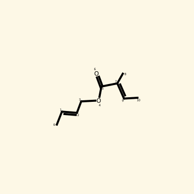 CC=CCOC(=O)C(C)=CC